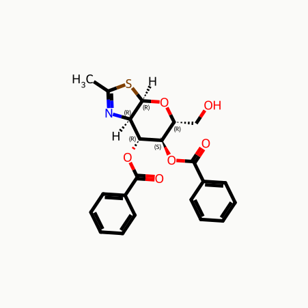 CC1=N[C@@H]2[C@@H](OC(=O)c3ccccc3)[C@H](OC(=O)c3ccccc3)[C@@H](CO)O[C@@H]2S1